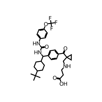 CC(C)(C)C1CCC(C(NC(=O)Nc2ccc(OC(F)(F)F)cc2)c2ccc(C(=O)C3(CNCCC(=O)O)CC3)cc2)CC1